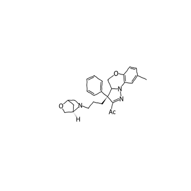 CC(=O)C1=NN2c3cc(C)ccc3OCC2[C@@]1(CCCN1CC2C[C@@H]1CO2)c1ccccc1